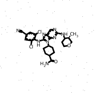 C[C@H]1COCCC1Nc1ncc2nc(Nc3c(Cl)cc(C#N)cc3Cl)n(C3CCC(C(N)=O)CC3)c2n1